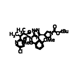 COc1cccc(OC)c1-n1c(NS(=O)(=O)[C@@H](C)[C@H](C)c2ncc(Cl)cn2)nnc1[C@@H]1CCN(C(=O)OC(C)(C)C)C1